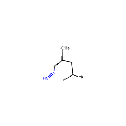 COC(CN=N)CC(C)C#N